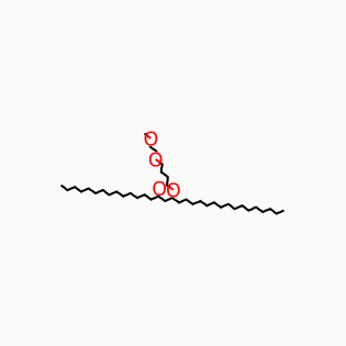 CCCCCCCCCCCCCCCCC(CCCCCCCCCCCCCCCC)OC(=O)CCCOCCOC